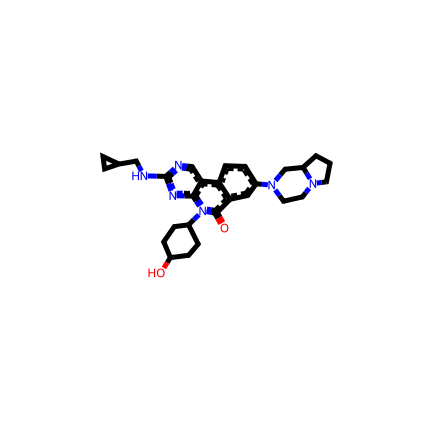 O=c1c2cc(N3CCN4CCCC4C3)ccc2c2cnc(NCC3CC3)nc2n1C1CCC(O)CC1